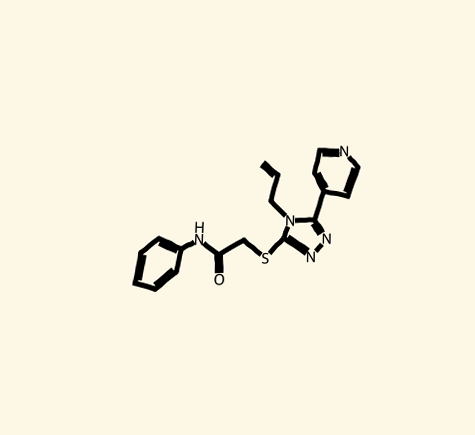 C=CCn1c(SCC(=O)Nc2ccccc2)nnc1-c1ccncc1